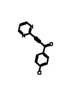 O=C(C#Cc1ncccn1)c1ccc(Cl)cc1